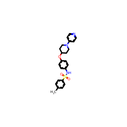 Cc1ccc(S(=O)(=O)Nc2ccc(OC3CCN(c4ccncc4)CC3)cc2)cc1